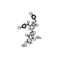 CC(C)(C)OC(=O)C[C@H](NC(=O)OC(C)(C)C)C(=O)NCC(=O)OCN1C(=O)N(Cc2ccc(Cl)cc2)SC1NC(=O)c1ccc(Cl)cc1